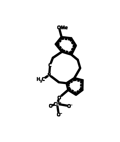 COc1ccc2c(c1)CCN(C)Cc1c(cccc1O[Cl+3]([O-])([O-])[O-])CC2